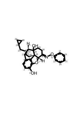 Oc1ccc2c3c1O[C@H]1C(=NOc4ccccc4)CCC4(O)[C@@H](C2)N(CC2CC2)CC[C@]314